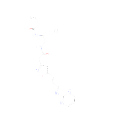 CCCOC(=O)NC(CNC(=O)CC1=NOC(CCCNC2NC=CCN2)C1)C(=O)O